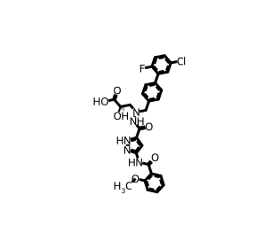 COc1ccccc1C(=O)Nc1cc(C(=O)NN(Cc2ccc(-c3cc(Cl)ccc3F)cc2)C[C@@H](O)C(=O)O)[nH]n1